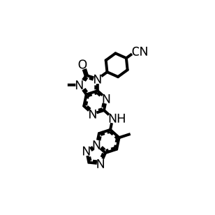 Cc1cc2ncnn2cc1Nc1ncc2c(n1)n(C1CCC(C#N)CC1)c(=O)n2C